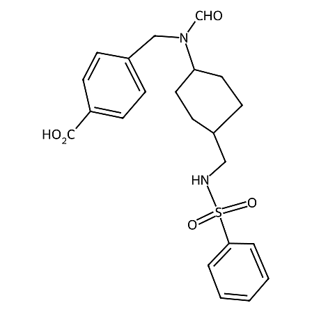 O=CN(Cc1ccc(C(=O)O)cc1)C1CCC(CNS(=O)(=O)c2ccccc2)CC1